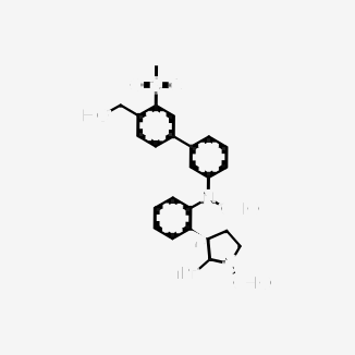 CC(C)C1[C@@H](c2ccccc2N(C=O)c2cccc(-c3ccc(CO)c(S(C)(=O)=O)c3)c2)CCN1C=O